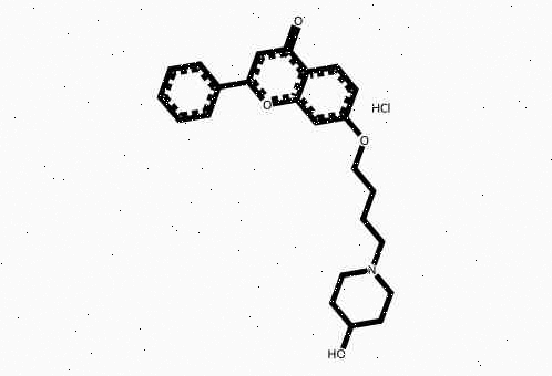 Cl.O=c1cc(-c2ccccc2)oc2cc(OCCCCN3CCC(O)CC3)ccc12